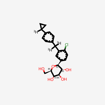 [2H]C1(c2ccc(C([2H])([2H])c3cc([C@@H]4O[C@H](CO)[C@@H](O)[C@H](O)[C@H]4O)ccc3Cl)cc2)CC1